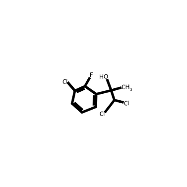 CC(O)(c1cccc(Cl)c1F)C(Cl)Cl